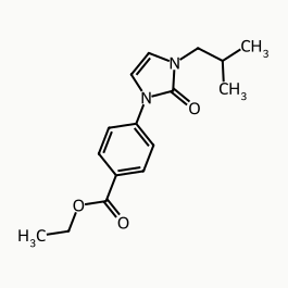 CCOC(=O)c1ccc(-n2ccn(CC(C)C)c2=O)cc1